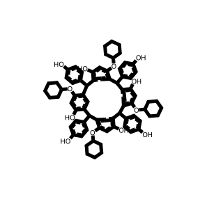 Oc1ccc(C2c3cc(c(OC4CCCCC4)cc3O)C(c3ccc(O)cc3)c3cc(c(OC4CCCCC4)cc3O)C(c3ccc(O)cc3)c3cc(c(OC4CCCCC4)cc3O)C(c3ccc(O)cc3)c3cc2c(OC2CCCCC2)cc3O)cc1